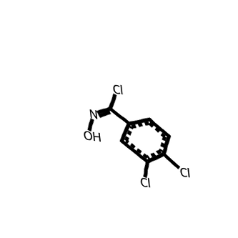 O/N=C(/Cl)c1ccc(Cl)c(Cl)c1